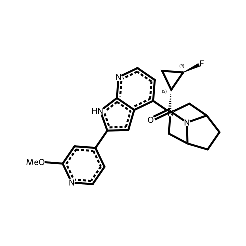 COc1cc(-c2cc3c(N4CC5CCC(C4)N5C(=O)[C@@H]4C[C@H]4F)ccnc3[nH]2)ccn1